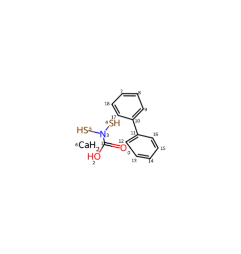 O=C(O)N(S)S.[CaH2].c1ccc(-c2ccccc2)cc1